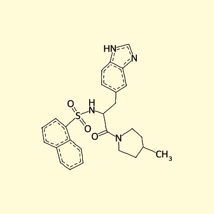 CC1CCN(C(=O)C(Cc2ccc3[nH]cnc3c2)NS(=O)(=O)c2cccc3ccccc23)CC1